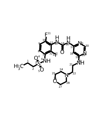 CCCS(=O)(=O)Nc1ccc(F)c(NC(=O)Nc2cc(NCCN3CCOCC3)ncn2)c1F